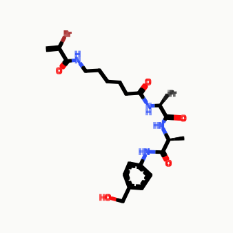 C=C(Br)C(=O)NCCCCCC(=O)N[C@H](C(=O)N[C@@H](C)C(=O)Nc1ccc(CO)cc1)C(C)C